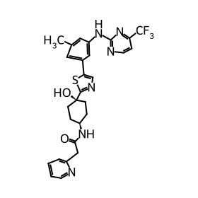 Cc1cc(Nc2nccc(C(F)(F)F)n2)cc(-c2cnc([C@]3(O)CC[C@@H](NC(=O)Cc4ccccn4)CC3)s2)c1